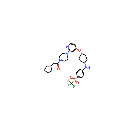 O=C(CC1CCCC1)N1CCN(c2cc(O[C@H]3CC[C@H](Nc4ccc(S(=O)(=O)C(F)(F)F)cc4)CC3)ccn2)CC1